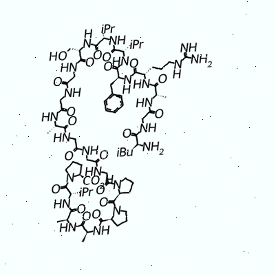 CC[C@H](C)[C@H](N)C(=O)NCC(=O)N[C@@H](C)C(=O)N[C@@H](CCCNC(=N)N)C(=O)N[C@@H](Cc1ccccc1)C(=O)N[C@H](C(=O)N[C@H](C(=O)N[C@@H](CO)C(=O)NCC(=O)NCC(=O)N[C@@H](C)C(=O)NCC(=O)NCC(=O)NCC(=O)N1CCC[C@H]1C(=O)N1CCC[C@H]1C(=O)N[C@@H](C)C(=O)N[C@@H](C)C(=O)N[C@H](C(=O)N1CCC[C@H]1C(=O)O)C(C)C)C(C)C)C(C)C